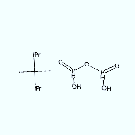 CC(C)C(C)(C)C(C)C.O=[PH](O)O[PH](=O)O